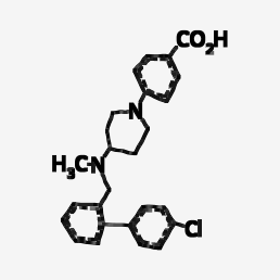 CN(Cc1ccccc1-c1ccc(Cl)cc1)C1CCN(c2ccc(C(=O)O)cc2)CC1